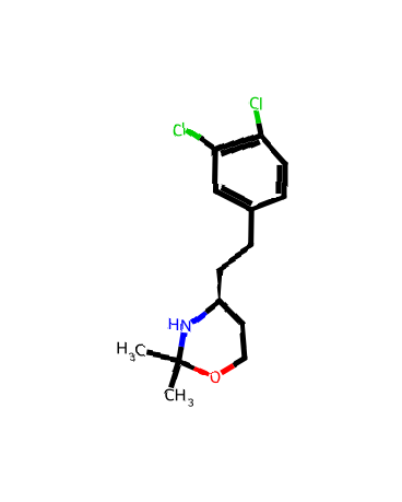 CC1(C)N[C@@H](CCc2ccc(Cl)c(Cl)c2)CCO1